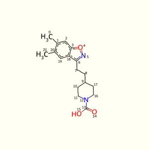 Cc1cc2onc(CCC3CCN(C(=O)O)CC3)c2cc1C